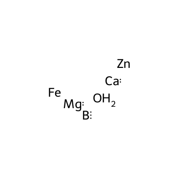 O.[B].[Ca].[Fe].[Mg].[Zn]